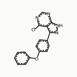 Clc1ncnc2[nH]nc(-c3ccc(Oc4ccccc4)cc3)c12